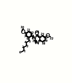 CCCCCCc1cc(OC)ccc1N1C=NC2C=CC(OC)=CC2C1=O